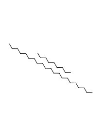 CCCCCCCCC.CCCCCCCCCCCCCCCCCCCCC